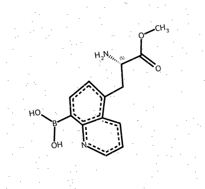 COC(=O)[C@@H](N)Cc1ccc(B(O)O)c2ncccc12